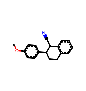 COc1ccc(C2CCc3ccccc3C2C#N)cc1